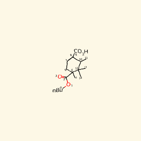 CCCCOC(=O)C1(C)CCC(C(=O)O)C(C)C1(C)C